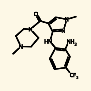 CN1CCN(C(=O)c2cn(C)nc2Nc2ccc(C(F)(F)F)cc2N)CC1